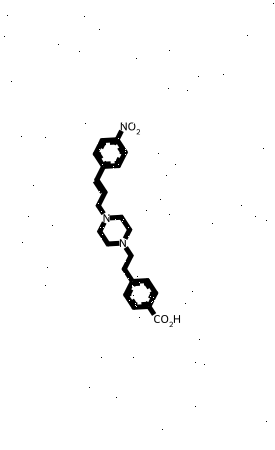 O=C(O)c1ccc(CCN2CCN(CC=Cc3ccc([N+](=O)[O-])cc3)CC2)cc1